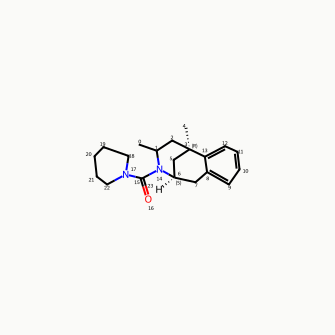 CC1C[C@]2(C)C[C@@H](Cc3ccccc32)N1C(=O)N1CCCCC1